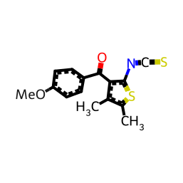 COc1ccc(C(=O)c2c(N=C=S)sc(C)c2C)cc1